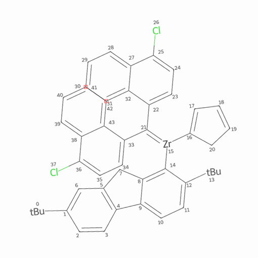 CC(C)(C)c1ccc2c(c1)Cc1c-2ccc(C(C)(C)C)[c]1[Zr]([C]1=CC=CC1)=[C](c1ccc(Cl)c2ccccc12)c1ccc(Cl)c2ccccc12